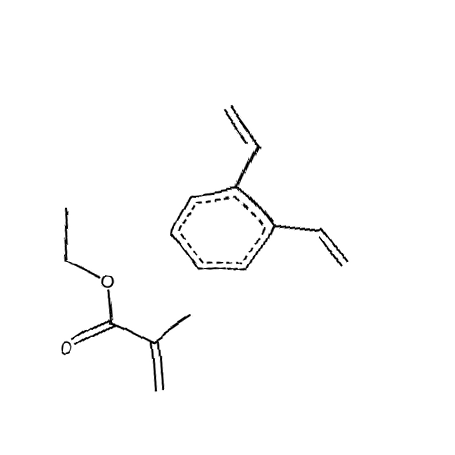 C=C(C)C(=O)OCC.C=Cc1ccccc1C=C